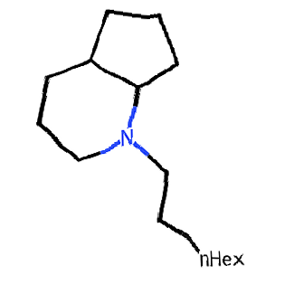 CCCCCCCCN1CCCC2CCCC21